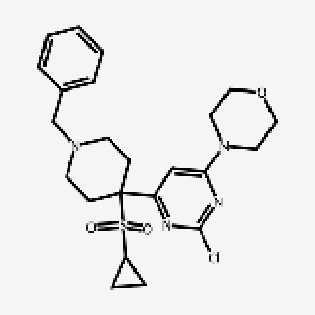 O=S(=O)(C1CC1)C1(c2cc(N3CCOCC3)nc(Cl)n2)CCN(Cc2ccccc2)CC1